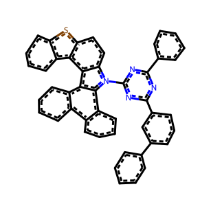 c1ccc(-c2cccc(-c3nc(-c4ccccc4)nc(-n4c5ccc6sc7ccccc7c6c5c5c6ccccc6c6ccccc6c54)n3)c2)cc1